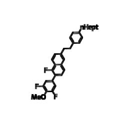 CCCCCCCc1ccc(CCc2ccc3c(F)c(-c4cc(F)c(OC)c(F)c4)ccc3c2)cc1